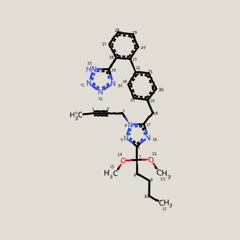 CC#CCn1nc(C(CCCC)(OC)OC)nc1Cc1ccc(-c2ccccc2-c2nnn[nH]2)cc1